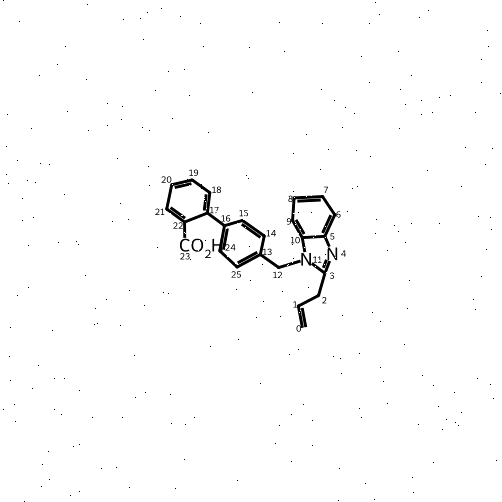 C=CCc1nc2ccccc2n1Cc1ccc(-c2ccccc2C(=O)O)cc1